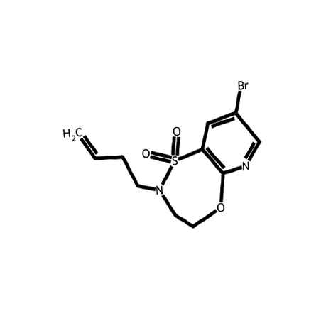 C=CCCN1CCOc2ncc(Br)cc2S1(=O)=O